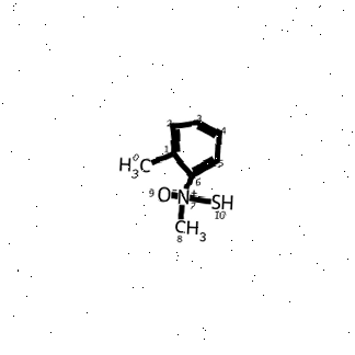 Cc1ccccc1[N+](C)([O-])S